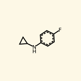 Fc1ccc(NC2CC2)cc1